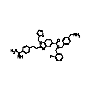 N=C(N)c1ccc(CCc2nc3cc(C(=O)N(Cc4ccc(CN)cc4)Cc4ccccc4F)ccc3n2Cc2cccs2)cc1